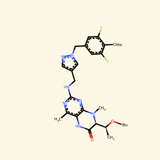 COc1c(F)cc(Cn2cc(CNc3nc(C)c4c(n3)N(C)[C@@H]([C@H](C)OC(C)(C)C)C(=O)N4)cn2)cc1F